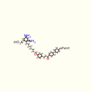 CCCCCc1ccc(-c2ccc(C(=O)/C=C/c3ccc(OCCCCCCCCc4c(N)cc(N)cc4C(=O)O)cc3)cc2)cc1